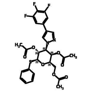 CC(=O)OC[C@H]1O[C@@H](Sc2ccccc2)[C@H](OC(C)=O)[C@@H](n2cc(-c3cc(F)c(F)c(F)c3)cn2)[C@H]1OC(C)=O